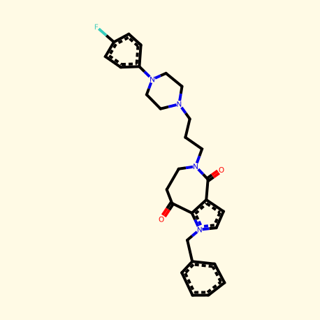 O=C1CCN(CCCN2CCN(c3ccc(F)cc3)CC2)C(=O)c2ccn(Cc3ccccc3)c21